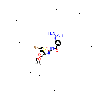 CCOC(=O)CC(NC(=O)CNC(=O)c1cccc(NC(=N)N)c1)c1cc(Br)cs1